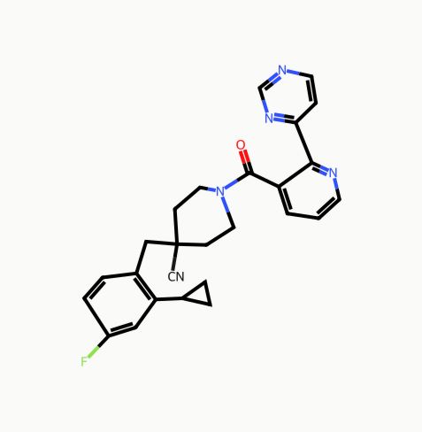 N#CC1(Cc2ccc(F)cc2C2CC2)CCN(C(=O)c2cccnc2-c2ccncn2)CC1